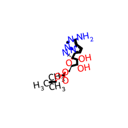 CC(C)(C)COC(=O)OC[C@H]1O[C@@](C#N)(c2ccc3c(N)ncnn23)[C@H](O)[C@@H]1O